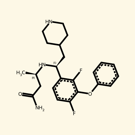 C[C@H](CC(N)=O)N[C@@H](CC1CCNCC1)c1ccc(F)c(Oc2ccccc2)c1F